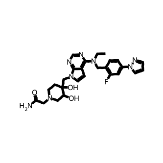 CCN(Cc1ccc(-n2cccn2)cc1F)c1ncnc2c1ccn2CC1(O)CCN(CC(N)=O)CC1O